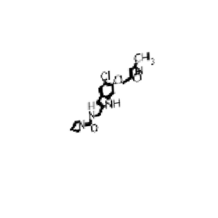 Cc1cc(COc2cc3[nH]c(CNC(=O)N4CCC4)cc3cc2Cl)on1